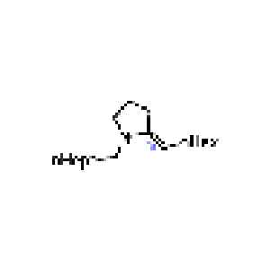 CCCCCC/C=C1\CCCN1CCCCCCCC